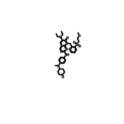 CCN(CC)c1cc2cnc(Nc3ccc(N(C)C4CCNCC4)cc3)nc2n(Cc2ncccc2S(=O)(=O)CCOC)c1=O